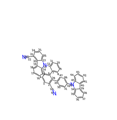 N#Cc1cccc(-c2ccccc2-n2c3ccccc3c3c(C#N)cccc32)c1-c1ccc(-n2c3ccccc3c3ccccc32)cc1